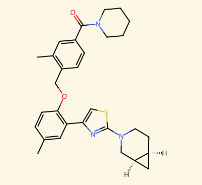 Cc1ccc(OCc2ccc(C(=O)N3CCCCC3)cc2C)c(-c2csc(N3CC[C@H]4C[C@H]4C3)n2)c1